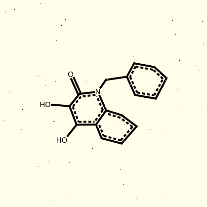 O=c1c(O)c(O)c2ccccc2n1Cc1ccccc1